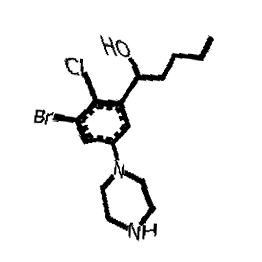 CCCCC(O)c1cc(N2CCNCC2)cc(Br)c1Cl